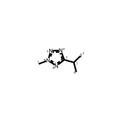 CC(I)c1nnn(C)n1